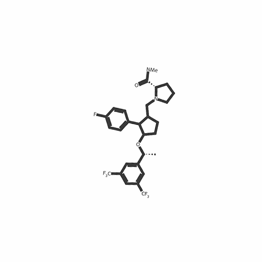 CNC(=O)[C@@H]1CCCN1CC1CCC(O[C@H](C)c2cc(C(F)(F)F)cc(C(F)(F)F)c2)C1c1ccc(F)cc1